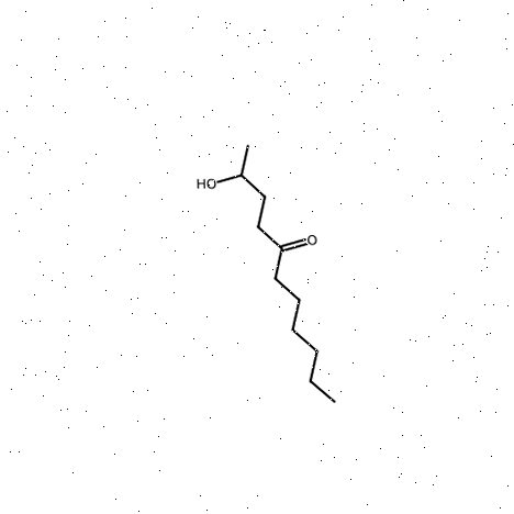 CCCCCCC(=O)CCC(C)O